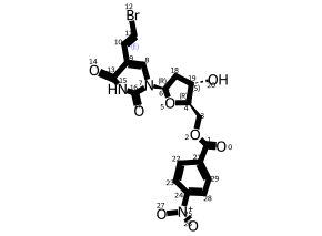 O=C(OC[C@H]1O[C@@H](n2cc(/C=C/Br)c(=O)[nH]c2=O)C[C@@H]1O)c1ccc([N+](=O)[O-])cc1